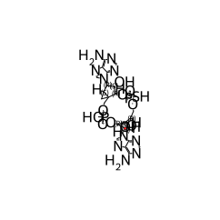 Nc1ncnc2c1ncn2[C@H]1[C@H](O)[C@@H]2O[P@@](=O)(S)OC[C@H]3O[C@@H](n4cnc5c(N)ncnc54)[C@H](OP(=O)(O)OCC24C[C@H]14)[C@@H]3O